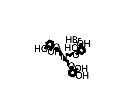 Br.Oc1cccc(OCCCN(CCCOc2cccc(O)c2O)CCCOc2cccc(O)c2O)c1O